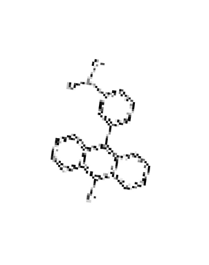 OB(O)c1cccc(-c2c3ccccc3c(Br)c3ccccc23)c1